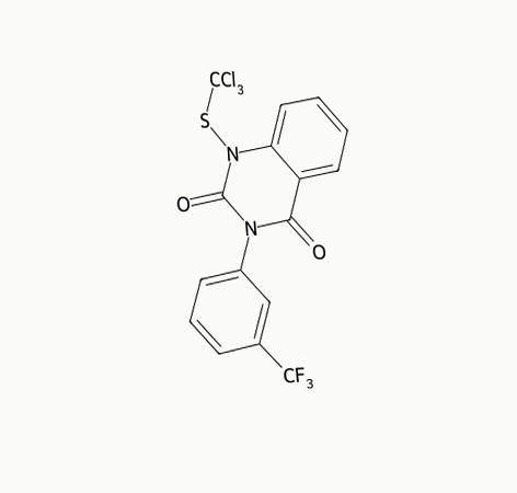 O=c1c2ccccc2n(SC(Cl)(Cl)Cl)c(=O)n1-c1cccc(C(F)(F)F)c1